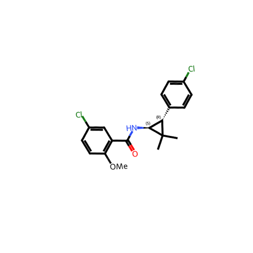 COc1ccc(Cl)cc1C(=O)N[C@H]1[C@H](c2ccc(Cl)cc2)C1(C)C